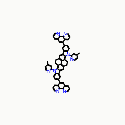 Cc1ccnc(-n2c3ccc(-c4cc5cccnc5c5ncccc45)cc3c3cc4c5c(c32)CCc2cc3c6cc(-c7cc8cccnc8c8ncccc78)ccc6n(-c6cc(C)ccn6)c3c(c2-5)CC4)c1